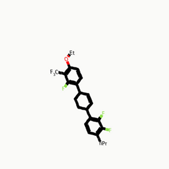 CCCc1ccc(C2C=CC(c3ccc(OCC)c(C(F)(F)F)c3F)CC2)c(F)c1F